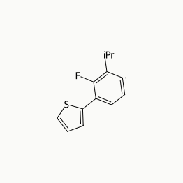 CC(C)c1[c]ccc(-c2cccs2)c1F